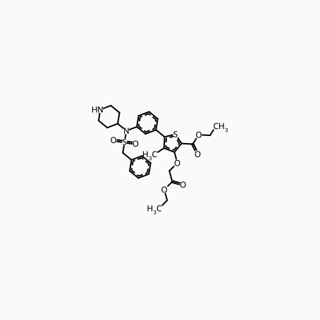 CCOC(=O)COc1c(C(=O)OCC)sc(-c2cccc(N(C3CCNCC3)S(=O)(=O)Cc3ccccc3)c2)c1C